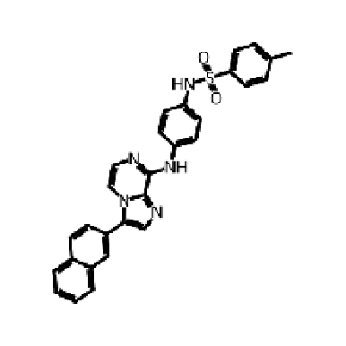 Cc1ccc(S(=O)(=O)Nc2ccc(Nc3nccn4c(-c5ccc6ccccc6c5)cnc34)cc2)cc1